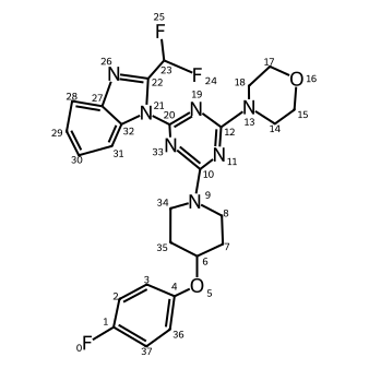 Fc1ccc(OC2CCN(c3nc(N4CCOCC4)nc(-n4c(C(F)F)nc5ccccc54)n3)CC2)cc1